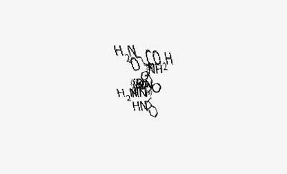 CC[C@H](C)[C@H](N)C(=O)N[C@@H](Cc1c[nH]c2ccccc12)C(=O)NCC(=O)N[C@@H](CCC(N)=O)C(=O)O